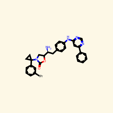 CC(C)c1cccc(C2(N3CC([C@@H](N)Cc4ccc(Nc5cc(-c6ccccc6)ncn5)cc4)OC3=O)CC2)c1